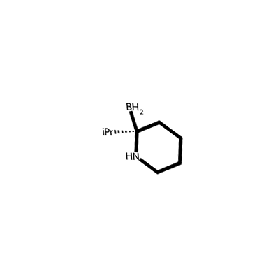 B[C@@]1(C(C)C)CCCCN1